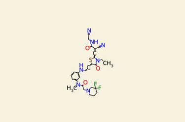 CCn1c(=C=C(C#N)C(=O)NCC#N)sc(=C=CNc2cccc(N(C)C(=O)CN3CCCC(F)(F)C3)c2)c1=O